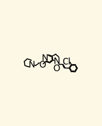 O=C(C=Cc1ccccc1Cl)N1CCc2cnc(OCCN3CCCCC3)cc21